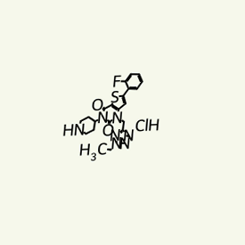 CCn1nnc(Cn2c(=O)n(C3CCNCC3)c(=O)c3sc(-c4ccccc4F)cc32)n1.Cl